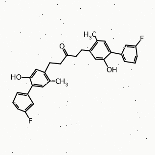 Cc1cc(-c2cccc(F)c2)c(O)cc1CCC(=O)CCc1cc(O)c(-c2cccc(F)c2)cc1C